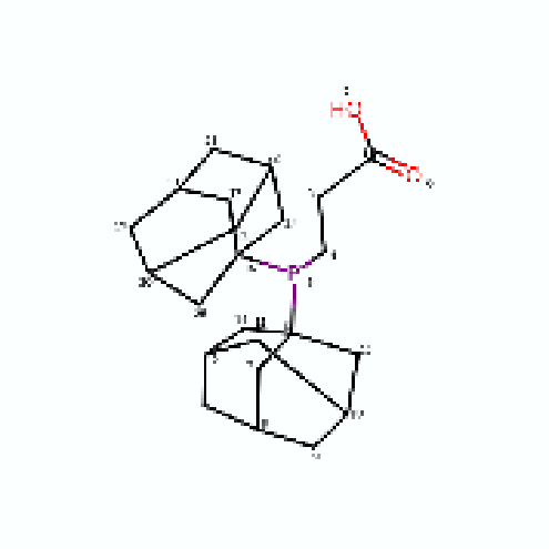 O=C(O)CCP(C12CC3CC(CC(C3)C1)C2)C12CC3CC(CC(C3)C1)C2